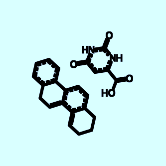 C1=c2c(ccc3c2=CCc2ccccc2-3)CCC1.O=C(O)c1cc(=O)[nH]c(=O)[nH]1